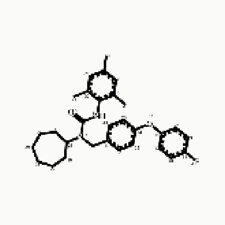 Cc1cc(C)c(NC(=O)N(Cc2ccc(Oc3ccc(F)cc3)cc2)C2CCCCCC2)c(C)c1